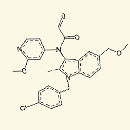 COCc1ccc2c(c1)c(N(C(=O)C=O)c1ccnc(OC)c1)c(C)n2Cc1ccc(Cl)cc1